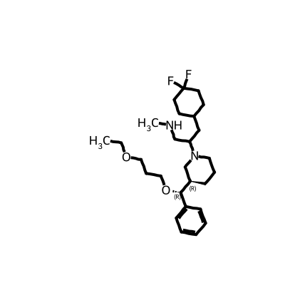 CCOCCCO[C@@H](c1ccccc1)[C@@H]1CCCN(C(CNC)CC2CCC(F)(F)CC2)C1